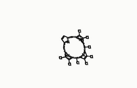 ClC1=C(Cl)c2nc1c(Cl)c1[nH]c(cc3nc(cc4[nH]c(c2Cl)c(Cl)c4Cl)C=C3)c(Cl)c1Cl